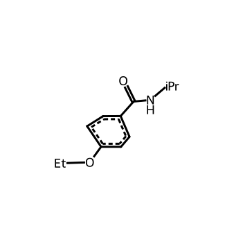 CCOc1ccc(C(=O)NC(C)C)cc1